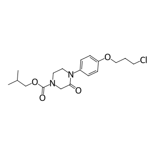 CC(C)COC(=O)N1CCN(c2ccc(OCCCCl)cc2)C(=O)C1